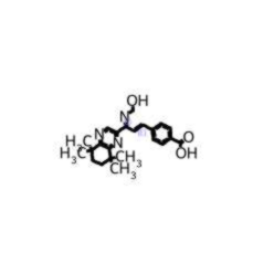 CC1(C)CCC(C)(C)c2nc(C(/C=C/c3ccc(C(=O)O)cc3)=N/CO)cnc21